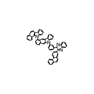 c1cc(-c2nc3ccccc3nc2-c2ccc3c(ccc4ccccc43)c2)cc(-n2c3ccccc3c3cc4c(-n5c6ccccc6c6ccc7ccccc7c65)cccc4cc32)c1